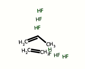 C=C.C=CC.F.F.F.F.F.F